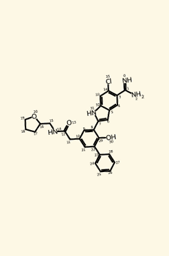 N=C(N)c1cc2cc(-c3cc(CC(=O)NCC4CCCO4)cc(-c4ccccc4)c3O)[nH]c2cc1Cl